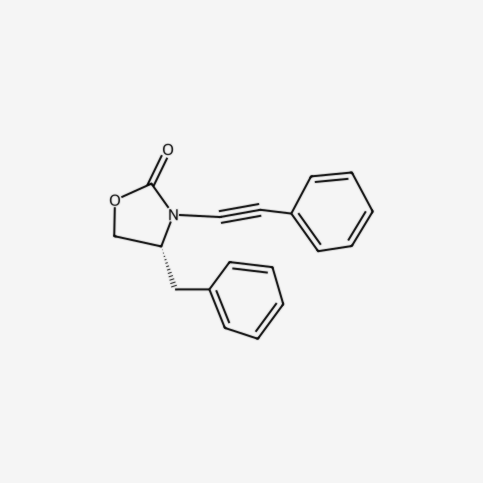 O=C1OC[C@@H](Cc2ccccc2)N1C#Cc1ccccc1